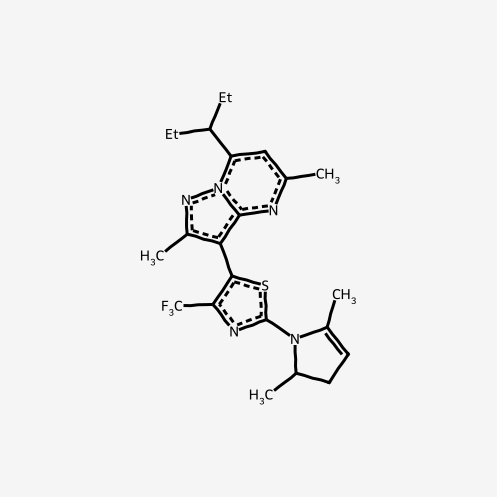 CCC(CC)c1cc(C)nc2c(-c3sc(N4C(C)=CCC4C)nc3C(F)(F)F)c(C)nn12